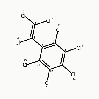 ClC(Cl)=C(Cl)c1c(Cl)c(Cl)c(Cl)c(Cl)c1Cl